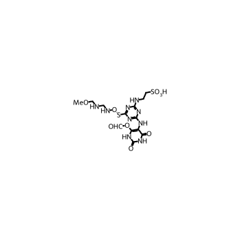 COCNCNOSc1nc(NCCS(=O)(=O)O)nc(Nc2c(OC=O)[nH]c(=O)[nH]c2=O)n1